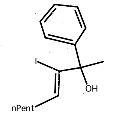 CCCCCC=C(I)C(C)(O)c1ccccc1